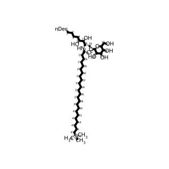 CCCCCCCCCCCCCC[C@@H](O)[C@@H](O)[C@H](COC1OC(CO)C(O)C(O)C1O)N[C@@H](CCCCCCCCCCCCCCCCCCCCCCC[Si](C)(C)C)C(F)(F)F